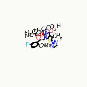 COc1ccc(F)cc1[C@H](Cn1c(=O)n(C(C)C(=O)O)c(=O)c2c(C)c(-n3nccn3)sc21)OCC(C)(C)C#N